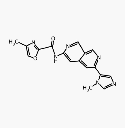 Cc1coc(C(=O)Nc2cc3cc(-c4cncn4C)ncc3cn2)n1